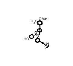 COc1ccc(C23CCC(CN(c4cccc(C#Cc5nccs5)c4)C(=O)[C@H]4CC[C@H](O)CC4)(CC2)CC3)cc1C